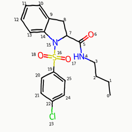 CCCCNC(=O)C1Cc2ccccc2N1S(=O)(=O)c1ccc(Cl)cc1